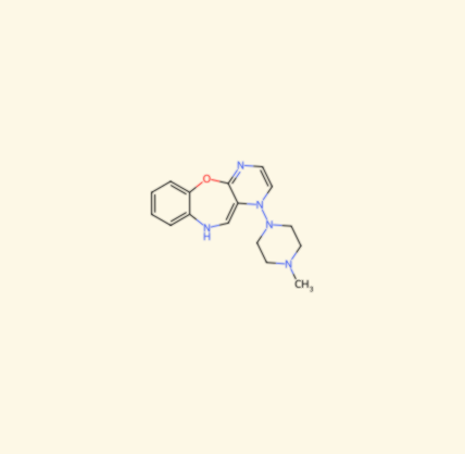 CN1CCN(n2ccnc3oc4ccccc4[nH]cc2-3)CC1